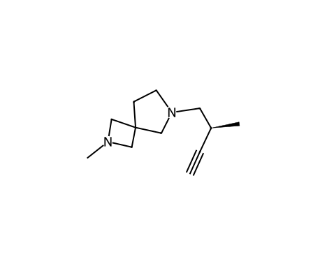 C#C[C@H](C)CN1CCC2(CN(C)C2)C1